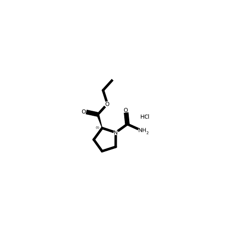 CCOC(=O)[C@@H]1CCCN1C(N)=O.Cl